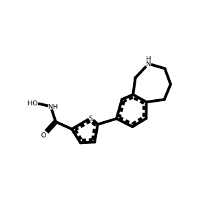 O=C(NO)c1ccc(-c2ccc3c(c2)CNCCC3)s1